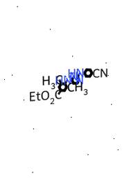 CCOC(=O)c1cc(C)c(Nc2ccnc(Nc3ccc(C#N)cc3)n2)c(C)c1